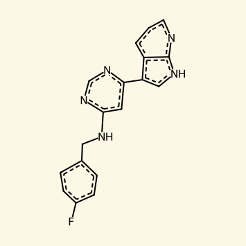 Fc1ccc(CNc2cc(-c3c[nH]c4ncccc34)ncn2)cc1